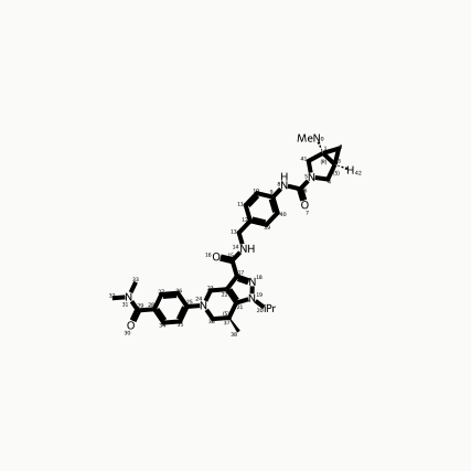 CN[C@]12C[C@H]1CN(C(=O)Nc1ccc(CNC(=O)c3nn(C(C)C)c4c3CN(c3ccc(C(=O)N(C)C)cc3)C[C@@H]4C)cc1)C2